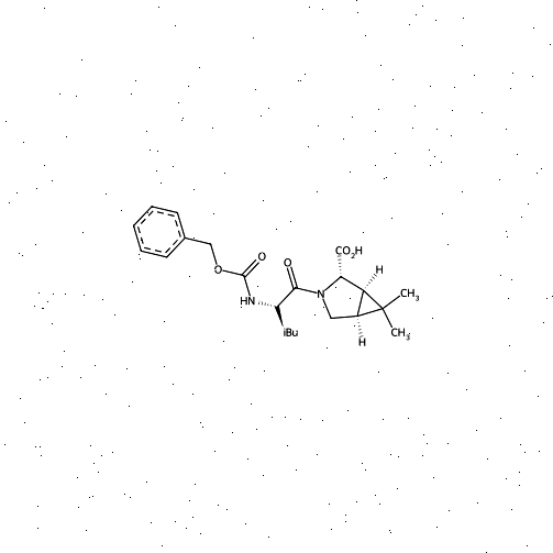 CC[C@H](C)[C@H](NC(=O)OCc1ccccc1)C(=O)N1C[C@H]2[C@@H]([C@H]1C(=O)O)C2(C)C